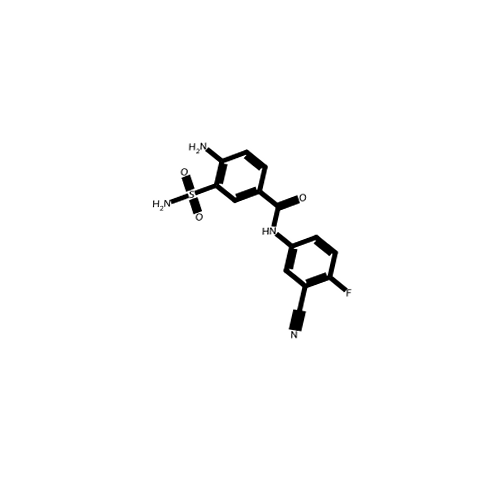 N#Cc1cc(NC(=O)c2ccc(N)c(S(N)(=O)=O)c2)ccc1F